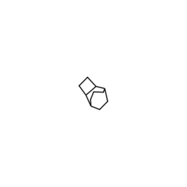 C1CC2CCC(C1)C1CCC21